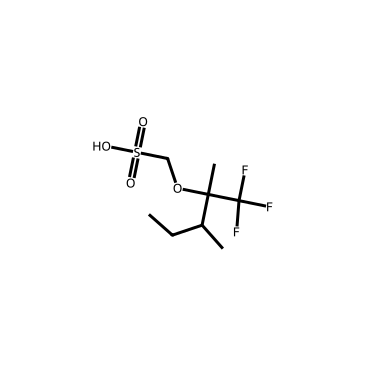 CCC(C)C(C)(OCS(=O)(=O)O)C(F)(F)F